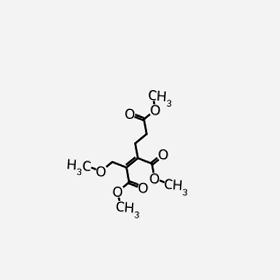 COC/C(C(=O)OC)=C(\CCC(=O)OC)C(=O)OC